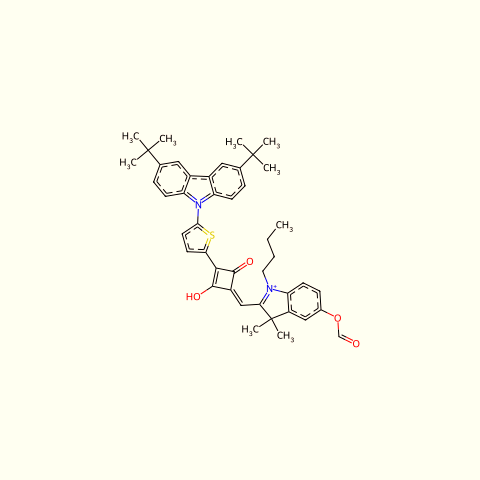 CCCC[N+]1=C(/C=C2\C(=O)C(c3ccc(-n4c5ccc(C(C)(C)C)cc5c5cc(C(C)(C)C)ccc54)s3)=C2O)C(C)(C)c2cc(OC=O)ccc21